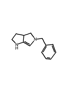 C1=C2NCCC2CN1Cc1ccccc1